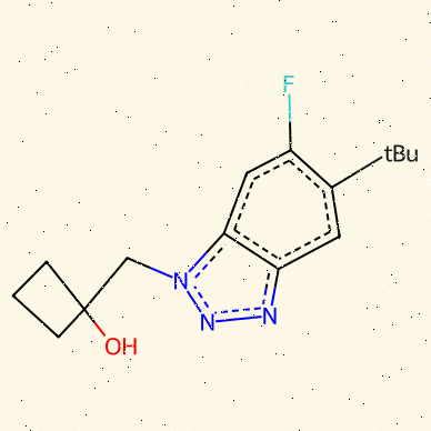 CC(C)(C)c1cc2nnn(CC3(O)CCC3)c2cc1F